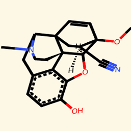 COC12C=CC3(C[C@@H]1C#N)C1Cc4ccc(O)c5c4[C@@]3(CCN1C)[C@@H]2O5